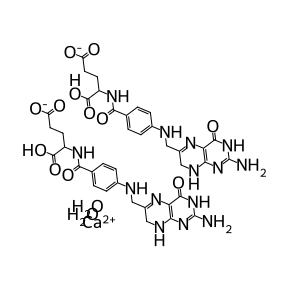 Nc1nc2c(c(=O)[nH]1)N=C(CNc1ccc(C(=O)NC(CCC(=O)[O-])C(=O)O)cc1)CN2.Nc1nc2c(c(=O)[nH]1)N=C(CNc1ccc(C(=O)NC(CCC(=O)[O-])C(=O)O)cc1)CN2.O.O.[Ca+2]